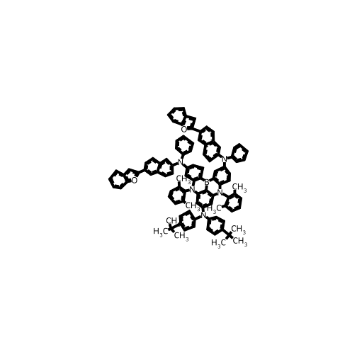 Cc1cccc(C)c1N1c2ccc(N(c3ccccc3)c3ccc4cc(-c5cc6ccccc6o5)ccc4c3)cc2B2c3ccc(N(c4ccccc4)c4ccc5cc(-c6cc7ccccc7o6)ccc5c4)cc3N(c3c(C)cccc3C)c3cc(N(c4ccc(C(C)(C)C)cc4)c4ccc(C(C)(C)C)cc4)cc1c32